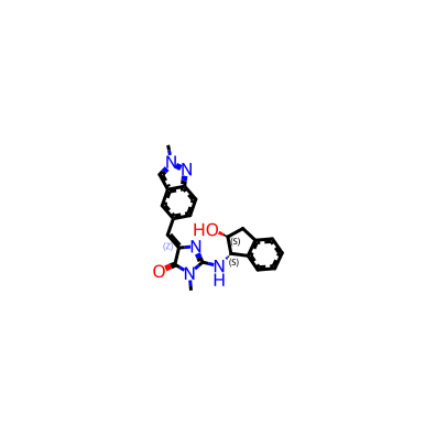 CN1C(=O)/C(=C/c2ccc3nn(C)cc3c2)N=C1N[C@H]1c2ccccc2C[C@@H]1O